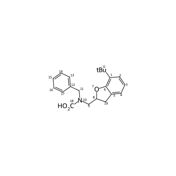 CC(C)(C)c1cccc2c1OC(CN(Cc1ccccc1)C(=O)O)C2